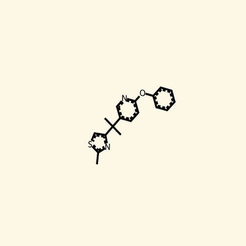 Cc1nc(C(C)(C)c2ccc(Oc3ccccc3)nc2)cs1